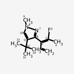 C=C/C(=C(\C)F)c1nn(C)cc1C(C)(C)C